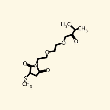 CSC1CC(=O)N(CCOCCOCC(=O)C(C)C)C1=O